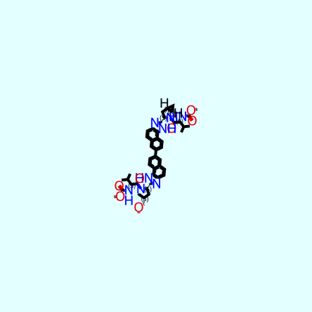 COC[C@H]1C[C@@H](c2nc3ccc4cc(-c5ccc6c(ccc7nc([C@@H]8C[C@H]9C[C@H]9N8C(=O)[C@@H](NC(=O)OC)C(C)C)[nH]c76)c5)ccc4c3[nH]2)N(C(=O)[C@@H](NC(=O)OC)C(C)C)C1